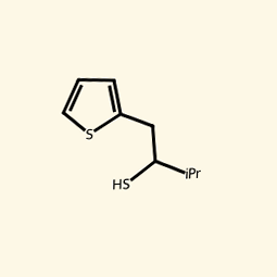 CC(C)C(S)Cc1cccs1